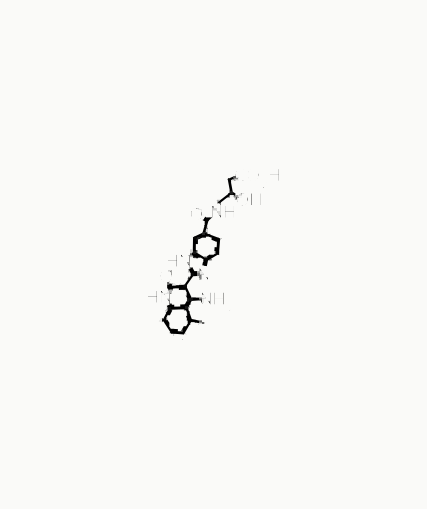 Nc1c(-c2nc3ccc(C(=O)NCC(O)CC(=O)O)cc3[nH]2)c(=O)[nH]c2cccc(F)c12